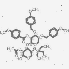 CC[Si](CC)(CC)O[C@@H]1CO[C@H](O)[C@@H](OC(C)=O)[C@@H]1O[C@@H]1OC[C@@H](OCc2ccc(OC)cc2)[C@H](OCc2ccc(OC)cc2)[C@H]1OC(=O)c1ccc(OC)cc1